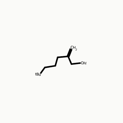 C=C(CO)CCCC(C)(C)C